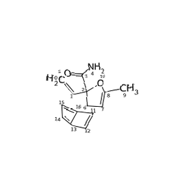 C=CC1(C(N)=O)CC=C(C)O1.c1cc2ccc1-2